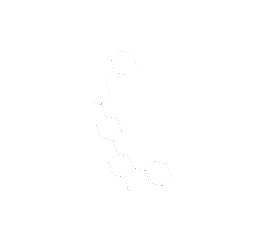 Nc1ccc(C2CCN(C(=O)CCN3CCOCC3)CC2)cc1C1=CCCCC1